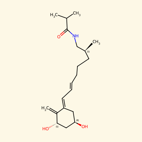 C=C1C(=CC=CCCC[C@H](C)CNC(=O)C(C)C)C[C@@H](O)C[C@@H]1O